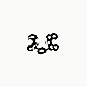 c1ccc(-c2nc(-c3cccc(-c4cc5ccccc5c5c4oc4ccc6ccccc6c45)c3)n3ccccc23)nc1